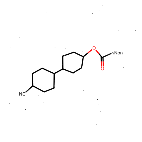 CCCCCCCCCC(=O)OC1CCC(C2CCC(C#N)CC2)CC1